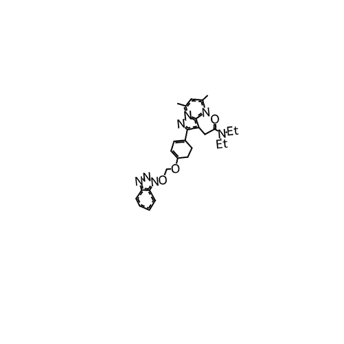 CCN(CC)C(=O)Cc1c(C2=CC=C(OCOn3nnc4ccccc43)CC2)nn2c(C)cc(C)nc12